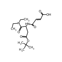 CCN(CC)C(=O)C(CC(=O)OC(C)(C)C)NC(=O)C=CC(=O)O